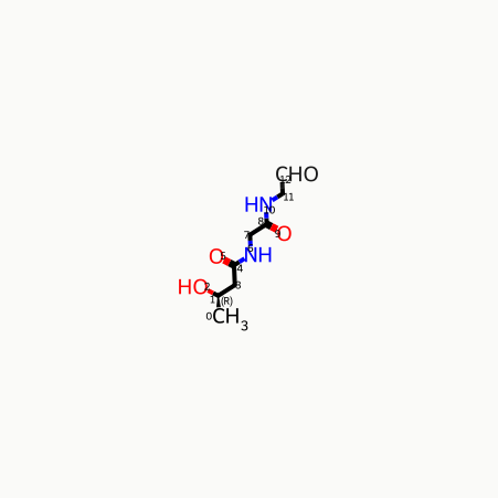 C[C@@H](O)CC(=O)NCC(=O)NCC=O